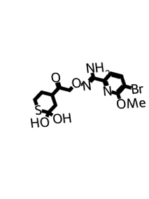 COc1nc(C(N)=NOCC(=O)C2CCSC(O)(O)C2)ccc1Br